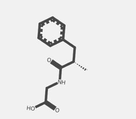 [CH2][C@@H](Cc1ccccc1)C(=O)NCC(=O)O